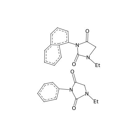 CCN1CC(=O)N(c2cccc3ccccc23)C1=O.CCN1CC(=O)N(c2ccccc2)C1=O